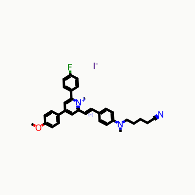 COc1ccc(-c2cc(/C=C/c3ccc(N(C)CCCCC#N)cc3)[n+](C)c(-c3ccc(F)cc3)c2)cc1.[I-]